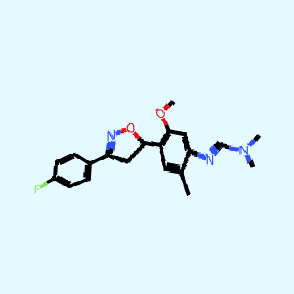 COc1cc(N=CN(C)C)c(C)cc1C1CC(c2ccc(F)cc2)=NO1